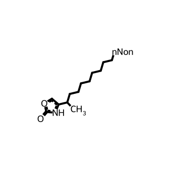 CCCCCCCCCCCCCCCCCC(C)c1coc(=O)[nH]1